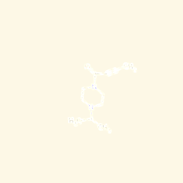 CC#CC(=O)N1CCN(C(C)C)CC1